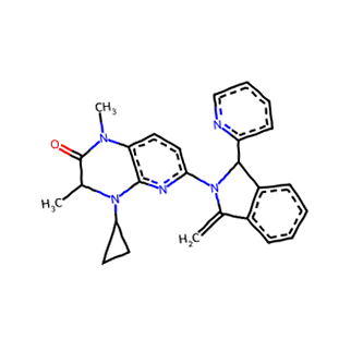 C=C1c2ccccc2C(c2ccccn2)N1c1ccc2c(n1)N(C1CC1)C(C)C(=O)N2C